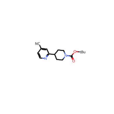 CC(C)(C)OC(=O)N1CCC(c2cc(C#N)ccn2)CC1